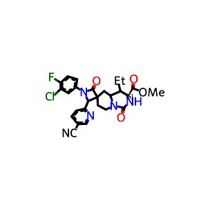 CCC1C2CC3(CCN2C(=O)N[C@@H]1C(=O)OC)C(=O)N(c1ccc(F)c(Cl)c1)C3c1ccc(C#N)cn1